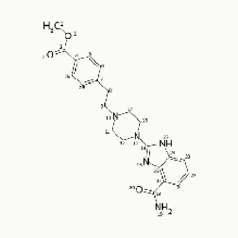 COC(=O)c1ccc(CCN2CCN(c3nc4c(C(N)=O)cccc4[nH]3)CC2)cc1